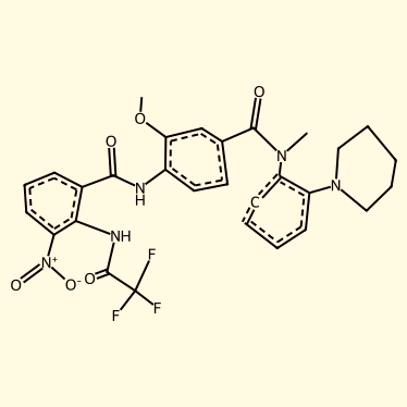 COc1cc(C(=O)N(C)c2ccccc2N2CCCCC2)ccc1NC(=O)c1cccc([N+](=O)[O-])c1NC(=O)C(F)(F)F